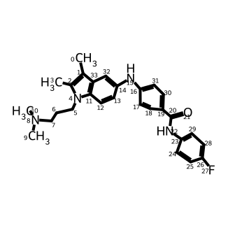 Cc1c(C)n(CCCN(C)C)c2ccc(Nc3ccc(C(=O)Nc4ccc(F)cc4)cc3)cc12